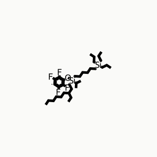 CCCCCCC(CC)CC[Si](CCCCCC[Si](CCC)(CCC)CCC)(Oc1c(F)c(F)[c]c(F)c1F)C(C)C